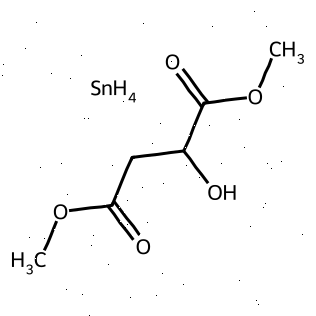 COC(=O)CC(O)C(=O)OC.[SnH4]